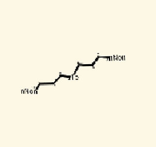 CCCCCCCCCCCC[Te]CCCCCCCCCCCC